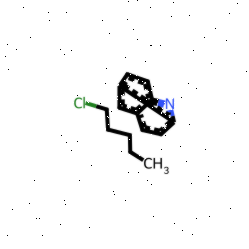 CCCCCCl.c1cc2nc3ccc2cc13